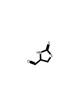 O=CC1CSC(=S)N1